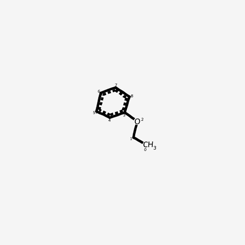 CCOc1[c][c]ccc1